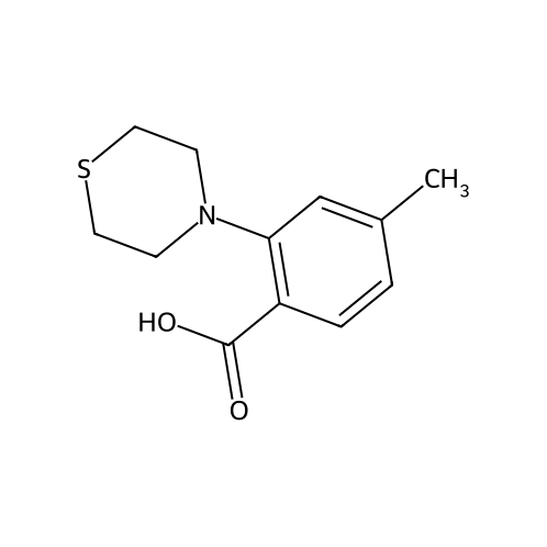 Cc1ccc(C(=O)O)c(N2CCSCC2)c1